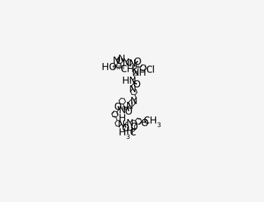 CCOc1cc(OC)ccc1CNCC(=O)N1CCCC(c2cccc(C(=O)N[C@@H](C(=O)N3CCN(CC4CCN(CC(=O)NCCNC[C@@H](C(=O)N5CCN(c6ncnc7c6[C@H](C)C[C@H]7O)CC5)c5ccc(Cl)cc5)CC4)CC3)C3CCCCC3)c2)C1